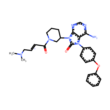 CN(C)C/C=C/C(=O)N1CCCC(n2c(=O)n(-c3ccc(Oc4ccccc4)cc3)c3c(N)ncnc32)C1